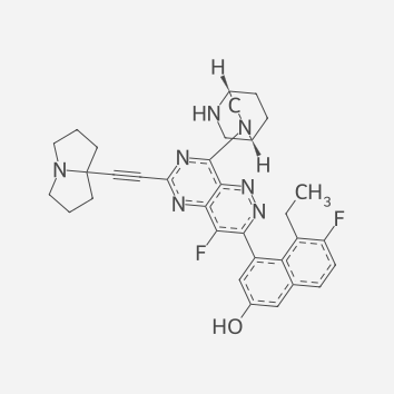 CCc1c(F)ccc2cc(O)cc(-c3nnc4c(N5C[C@H]6CC[C@@H]5CN6)nc(C#CC56CCCN5CCC6)nc4c3F)c12